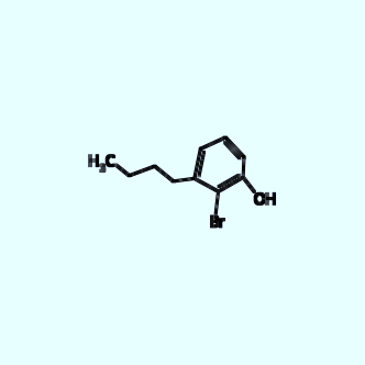 CCCCc1cccc(O)c1Br